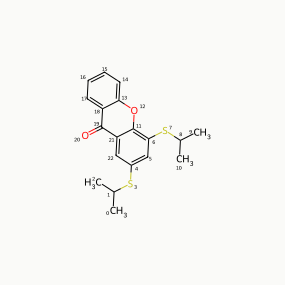 CC(C)Sc1cc(SC(C)C)c2oc3ccccc3c(=O)c2c1